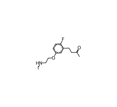 CC(=O)CCc1cc(OCCNI)ccc1F